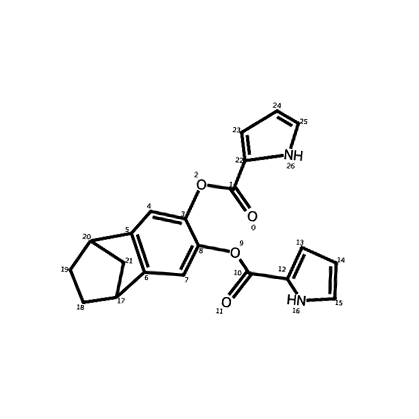 O=C(Oc1cc2c(cc1OC(=O)c1ccc[nH]1)C1CCC2C1)c1ccc[nH]1